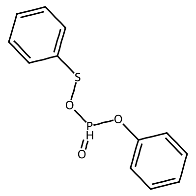 O=[PH](OSc1ccccc1)Oc1ccccc1